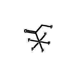 O=C(CF)S(F)(F)(F)(F)F